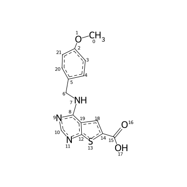 COc1ccc(CNc2ncnc3sc(C(=O)O)cc23)cc1